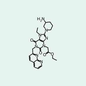 CCOC(=O)Cn1c(=O)n(Cc2ccc3cccnc3n2)c(=O)c2c1nc(N1CCCC(N)C1)n2CC